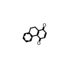 O=C1C=CC(=O)C2=C1CCc1ccccc12